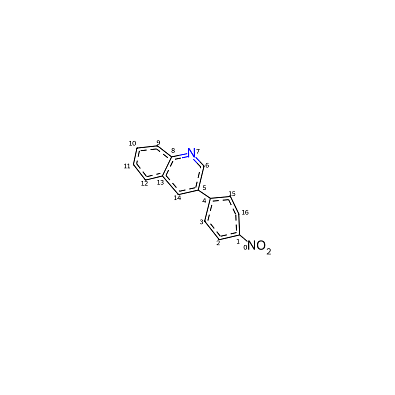 O=[N+]([O-])c1ccc(-c2cnc3ccccc3c2)cc1